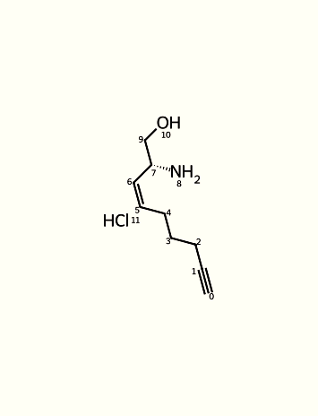 C#CCCC/C=C\[C@@H](N)CO.Cl